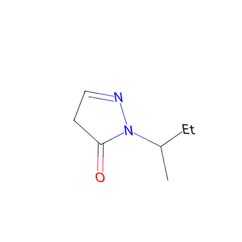 CCC(C)N1N=CCC1=O